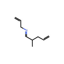 C=CC/N=C/C(C)CC=C